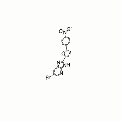 O=[N+]([O-])c1ccc(-c2ccc(-c3nc4cc(Br)cnc4[nH]3)o2)cc1